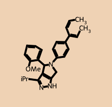 C/C=C\C(=C/C)c1ccc(N2Cc3[nH]nc(C(C)C)c3C2c2ccccc2OC)cc1